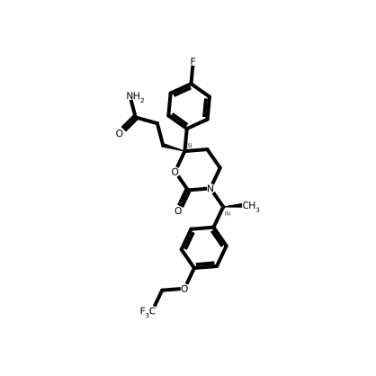 C[C@@H](c1ccc(OCC(F)(F)F)cc1)N1CC[C@@](CCC(N)=O)(c2ccc(F)cc2)OC1=O